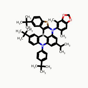 Cc1cc2c(c(C)c1N1c3cc(C(C)C)cc4c3B(c3cc(C(C)(C)C)ccc3N4c3ccc(C(C)(C)C)cc3)c3c1sc1ccc(C(C)(C)C)cc31)OCO2